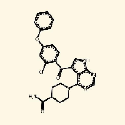 NC(=O)C1CCN(c2ncnc3[nH]cc(C(=O)c4ccc(Oc5ccccc5)cc4Cl)c23)CC1